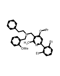 CCc1cccc(CC)c1-c1cc(OC(C)C)c(CN(CCc2ccccc2)Cc2ccccc2OC)c(C)n1